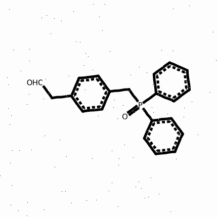 O=CCc1ccc(CP(=O)(c2ccccc2)c2ccccc2)cc1